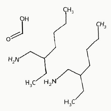 CCCCC(CC)CN.CCCCC(CC)CN.O=CO